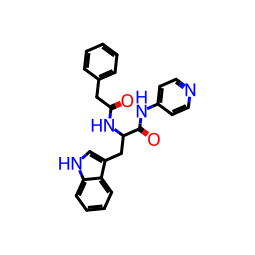 O=C(Cc1ccccc1)NC(Cc1c[nH]c2ccccc12)C(=O)Nc1ccncc1